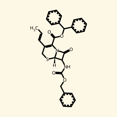 CC=CC1=C(C(=O)OC(c2ccccc2)c2ccccc2)N2C(=O)C(NC(=O)OCc3ccccc3)[C@@H]2SC1